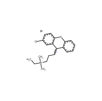 CC[N+](C)(C)CC/C=C1/c2ccccc2Sc2ccc(Cl)cc21.[Br-]